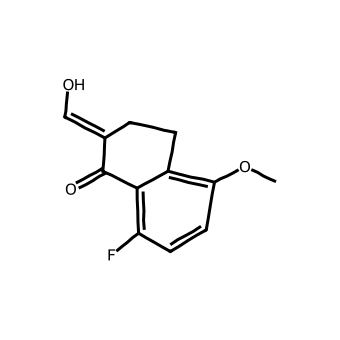 COc1ccc(F)c2c1CCC(=CO)C2=O